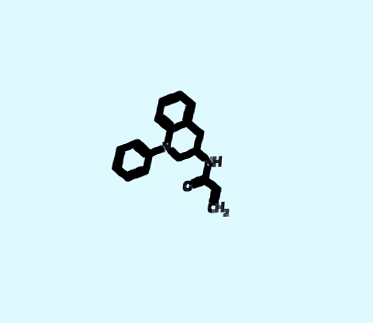 C=CC(=O)NC1Cc2ccccc2N(c2ccccc2)C1